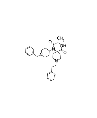 C[C@@H]1NC(=O)C2(CCN(CCc3ccccc3)CC2)N(C2CCN(Cc3ccccc3)CC2)C1=O